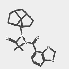 CC1(C)C(=O)N(C2C3CC4CC5CC2CC45C3)N1C(=O)c1cccc2c1OCO2